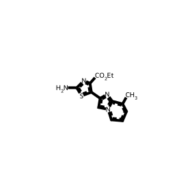 CCOC(=O)c1nc(N)sc1-c1cn2cccc(C)c2n1